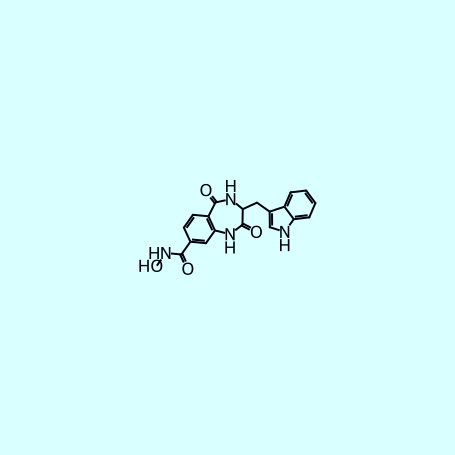 O=C(NO)c1ccc2c(c1)NC(=O)C(Cc1c[nH]c3ccccc13)NC2=O